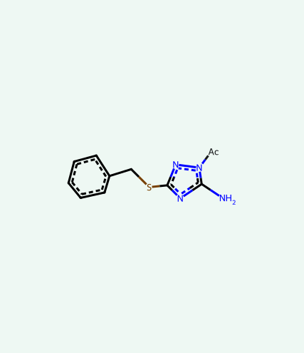 CC(=O)n1nc(SCc2ccccc2)nc1N